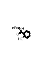 CCCNC(=O)c1ccncc1O